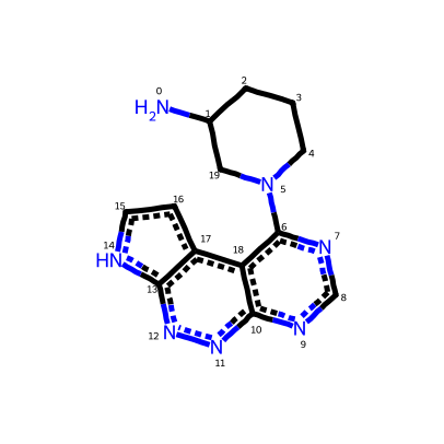 NC1CCCN(c2ncnc3nnc4[nH]ccc4c23)C1